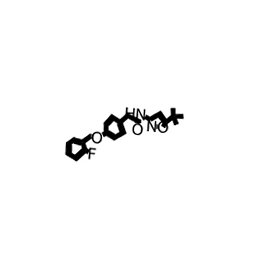 CC(C)(C)c1cc(NC(=O)Cc2ccc(OCc3ccccc3F)cc2)no1